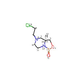 O=S1OC[C@@H]2CN(CCCl)CCN21